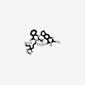 C#CCN(c1ccccc1C(=O)N[C@@H](CCC1(CCC(=O)O)N=NN=N1)C(=O)O)[C@@H]1CCc2cc3nc(C)[nH]c(=O)c3cc21